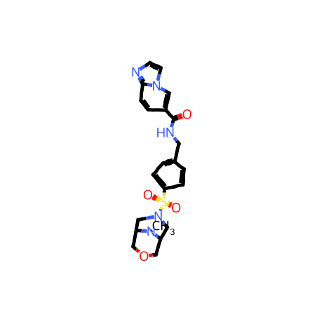 CN1C2COCC1CN(S(=O)(=O)c1ccc(CNC(=O)c3ccc4nccn4c3)cc1)C2